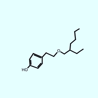 CCCCC(CC)COCCc1ccc(O)cc1